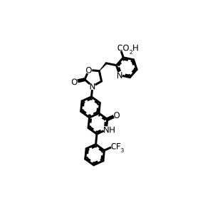 O=C(O)c1cccnc1C[C@H]1CN(c2ccc3cc(-c4ccccc4C(F)(F)F)[nH]c(=O)c3c2)C(=O)O1